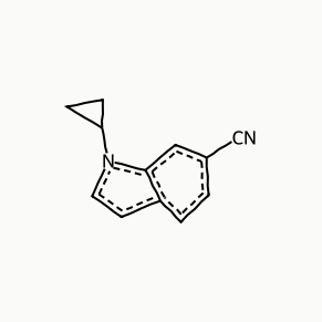 N#Cc1ccc2ccn(C3CC3)c2c1